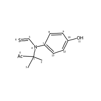 CC(=O)C(C)(C)N(C=S)c1ccc(O)cc1